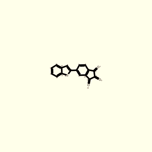 O=c1c(=O)c2ccc(-c3cc4ccccc4s3)cc2c1=O